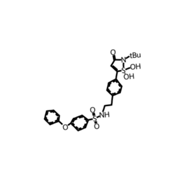 CC(C)(C)N1C(=O)C=C(c2ccc(CCNS(=O)(=O)c3ccc(Oc4ccccc4)cc3)cc2)S1(O)O